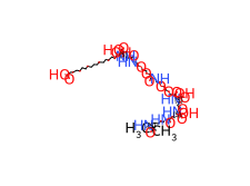 CN[C@@H](CCCCNC(=O)CC[C@H](NC(=O)CC[C@H](NC(=O)COCCOCCNC(=O)COCCOCCNC(=O)CC[C@H](NC(O)CCCCCCCCCCCCCCCCC(=O)O)C(=O)O)C(=O)O)C(=O)O)C(C)=O